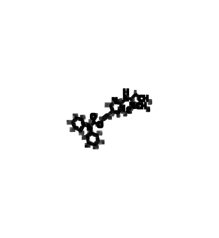 CCC(Nc1ncc(C#COC(=O)N(c2ccccc2)c2ccccc2)cn1)N(C)C